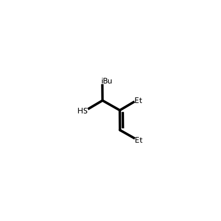 CC/C=C(\CC)C(S)C(C)CC